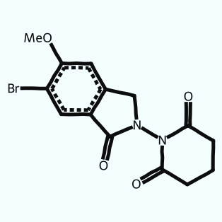 COc1cc2c(cc1Br)C(=O)N(N1C(=O)CCCC1=O)C2